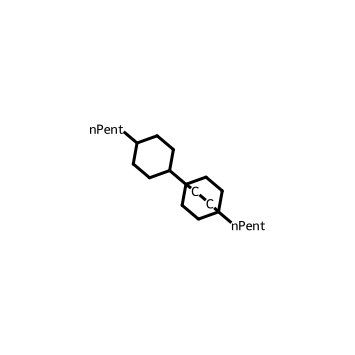 CCCCCC1CCC(C23CCC(CCCCC)(CC2)CC3)CC1